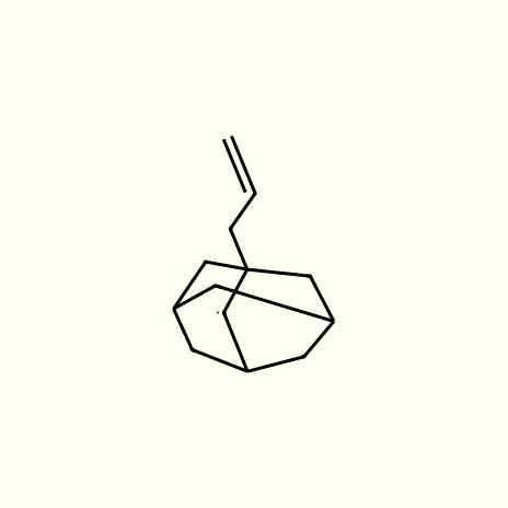 C=CCC12[CH]C3CC(CC(C3)C1)C2